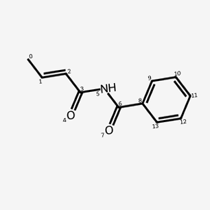 CC=CC(=O)NC(=O)c1ccccc1